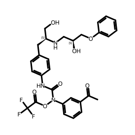 CC(=O)c1cccc(N(OC(=O)C(F)(F)F)C(=O)Nc2ccc(C[C@@H](CO)NC[C@H](O)COc3ccccc3)cc2)c1